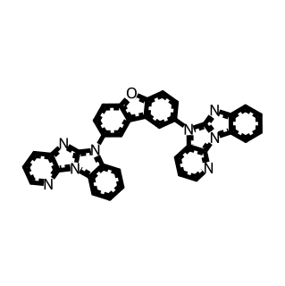 c1ccc2c(c1)nc1n(-c3ccc4oc5ccc(-n6c7ccccc7n7c8ncccc8nc67)cc5c4c3)c3cccnc3n21